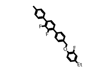 CCc1ccc(OCc2ccc(-c3ccc(-c4ccc(C)cc4)c(F)c3F)cc2)c(F)c1